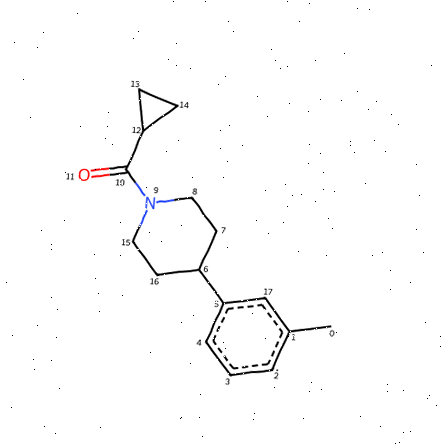 Cc1[c]ccc(C2CCN(C(=O)C3CC3)CC2)c1